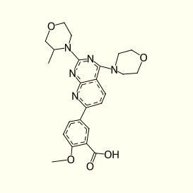 COc1ccc(-c2ccc3c(N4CCOCC4)nc(N4CCOCC4C)nc3n2)cc1C(=O)O